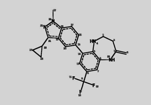 C=C1CCNc2c(cc(C(F)(F)F)cc2-c2ccc3c(c2)c(C2CC2)nn3C)N1